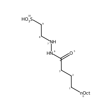 CCCCCCCCCCCC(=O)NNCCS(=O)(=O)O